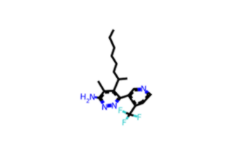 CCCCCCC(C)c1c(-c2cnccc2C(F)(F)F)nnc(N)c1C